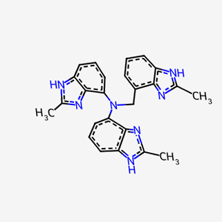 Cc1nc2c(CN(c3cccc4[nH]c(C)nc34)c3cccc4[nH]c(C)nc34)cccc2[nH]1